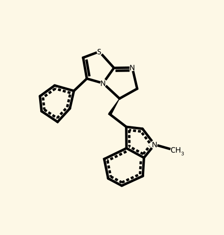 Cn1cc(C[C@@H]2CN=C3SC=C(c4ccccc4)N32)c2ccccc21